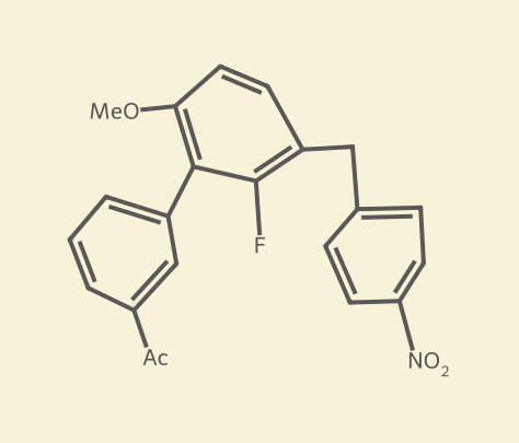 COc1ccc(Cc2ccc([N+](=O)[O-])cc2)c(F)c1-c1cccc(C(C)=O)c1